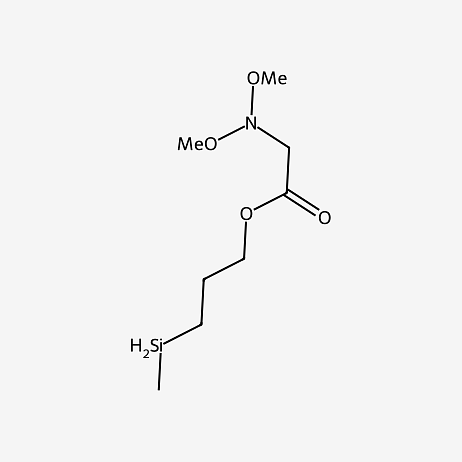 CON(CC(=O)OCCC[SiH2]C)OC